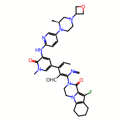 C=N/C(=C(C=O)\C(=C/C)c1cc(Nc2ccc(N3CCN(C4COC4)C[C@@H]3C)cn2)c(=O)n(C)c1)N1CCn2c3c(c(F)c2C1=O)CCCC3